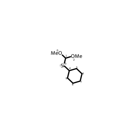 COC(OC)[Si]C1CCCCC1